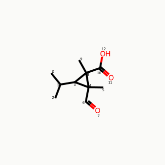 CC(C)C1C(C)(C=O)C1(C)C(=O)O